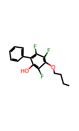 CCCCOc1c(F)c(O)c(-c2ccccc2)c(F)c1F